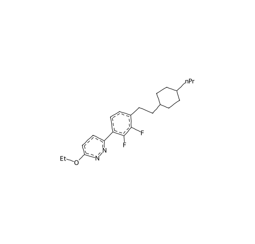 CCCC1CCC(CCc2ccc(-c3ccc(OCC)nn3)c(F)c2F)CC1